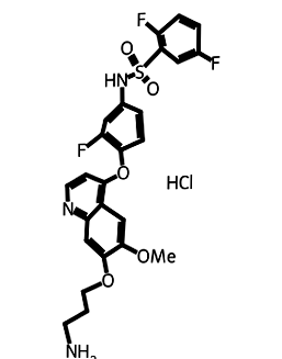 COc1cc2c(Oc3ccc(NS(=O)(=O)c4cc(F)ccc4F)cc3F)ccnc2cc1OCCCN.Cl